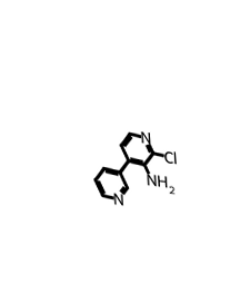 Nc1c(-c2cccnc2)ccnc1Cl